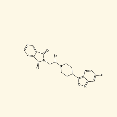 CCC(CN1C(=O)c2ccccc2C1=O)N1CCC(c2onc3cc(F)ccc23)CC1